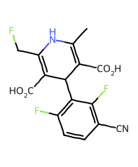 CC1=C(C(=O)O)C(c2c(F)ccc(C#N)c2F)C(C(=O)O)=C(CF)N1